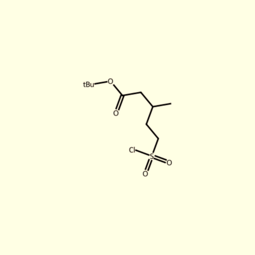 CC(CCS(=O)(=O)Cl)CC(=O)OC(C)(C)C